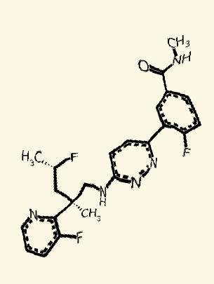 CNC(=O)c1ccc(F)c(-c2ccc(NC[C@](C)(C[C@H](C)F)c3ncccc3F)nn2)c1